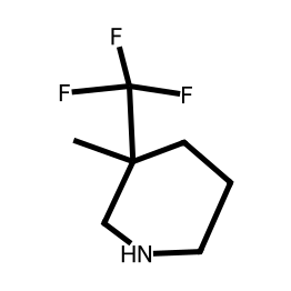 CC1(C(F)(F)F)CCCNC1